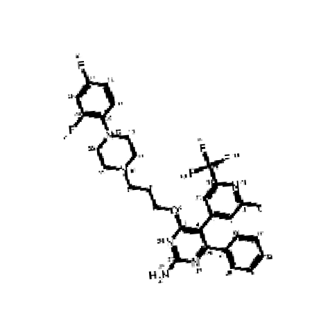 Cc1cc(-c2c(OCCCN3CCN(c4ccc(F)cc4F)CC3)nc(N)nc2-c2ccccc2)cc(C(F)(F)F)n1